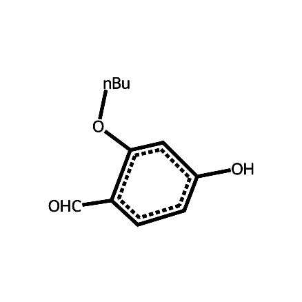 CCCCOc1cc(O)ccc1C=O